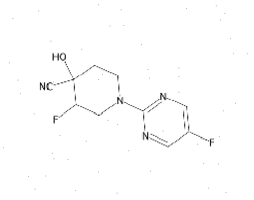 N#CC1(O)CCN(c2ncc(F)cn2)CC1F